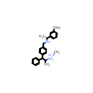 CN.COc1cccc([C@@H](C)NCc2ccc(C(c3ccccc3)C(C)N)cc2)c1